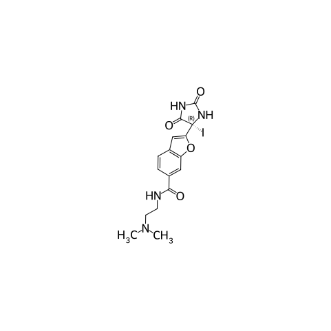 CN(C)CCNC(=O)c1ccc2cc([C@]3(I)NC(=O)NC3=O)oc2c1